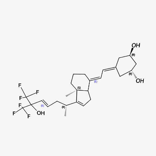 C[C@H](C/C=C/C(O)(C(F)(F)F)C(F)(F)F)C1=CCC2/C(=C/C=C3C[C@@H](O)C[C@H](O)C3)CCC[C@]12C